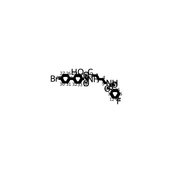 O=C(O)C(CCCCNS(=O)(=O)c1ccc(F)cc1)NS(=O)(=O)c1ccc(-c2ccc(Br)cc2)cc1